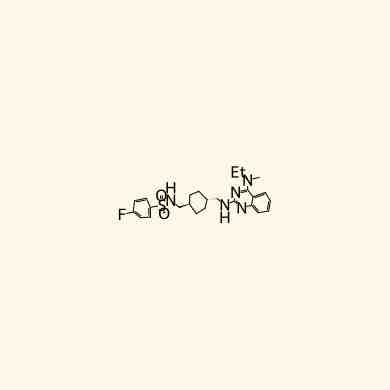 CCN(C)c1nc(NC[C@H]2CC[C@H](CNS(=O)(=O)c3ccc(F)cc3)CC2)nc2ccccc12